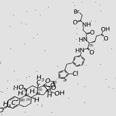 C[C@]12C=CC(=O)C=C1CC[C@@H]1[C@@H]2[C@@H](O)C[C@@]2(C)[C@H]1C[C@H]1O[C@@H](c3cc(Cc4cccc(NC(=O)[C@H](CCC(=O)O)NC(=O)CNC(=O)CBr)c4)c(Cl)s3)O[C@]12C(=O)CO